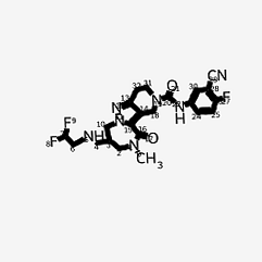 CN1CC(CNCC(F)F)Cn2nc3c(c2C1=O)CN(C(=O)Nc1ccc(F)c(C#N)c1)CC3